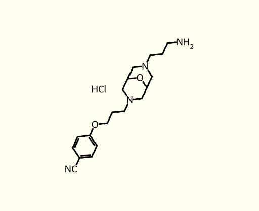 Cl.N#Cc1ccc(OCCCN2CC3CN(CCCN)CC(C2)O3)cc1